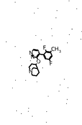 Cc1cc(F)cc(-c2ccnnc2OC2CCN3CCCC2C3)c1F